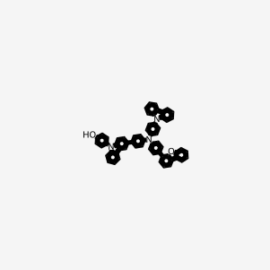 Oc1ccc(-n2c3ccccc3c3cc(-c4ccc(N(c5ccc(-c6cccc7c6oc6ccccc67)cc5)c5ccc(-n6c7ccccc7c7ccccc76)cc5)cc4)ccc32)cc1